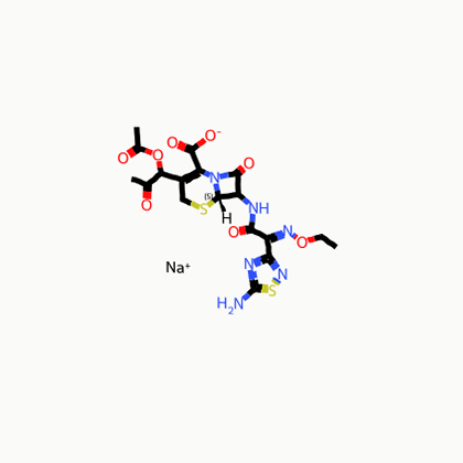 CCON=C(C(=O)NC1C(=O)N2C(C(=O)[O-])=C(C(OC(C)=O)C(C)=O)CS[C@@H]12)c1nsc(N)n1.[Na+]